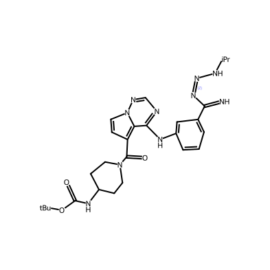 CC(C)N/N=N\C(=N)c1cccc(Nc2ncnn3ccc(C(=O)N4CCC(NC(=O)OC(C)(C)C)CC4)c23)c1